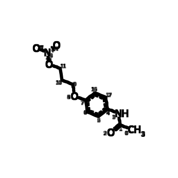 CC(=O)Nc1ccc(OCCCO[N+](=O)[O-])cc1